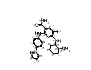 NC(=O)c1cc(F)c(N[C@@H]2CCCC[C@@H]2N)nc1Nc1ccc(-n2cccn2)cc1